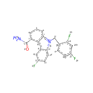 NC(=O)c1cccc2c1c1[c]c(F)ccc1n2Cc1ccc(F)cc1F